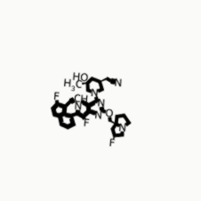 C#Cc1c(F)ccc2cccc(-c3ncc4c(N5C[C@H](CC#N)C[C@@](C)(O)C5)nc(OC[C@@]56CCCN5C[C@H](F)C6)nc4c3F)c12